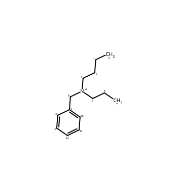 CCCCN(CCC)Cc1ccccc1